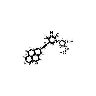 O=c1[nH]c(=O)n([C@H]2C[C@H](O)[C@@H](CO)O2)cc1C#Cc1cc2ccc3cccc4ccc(c1)c2c34